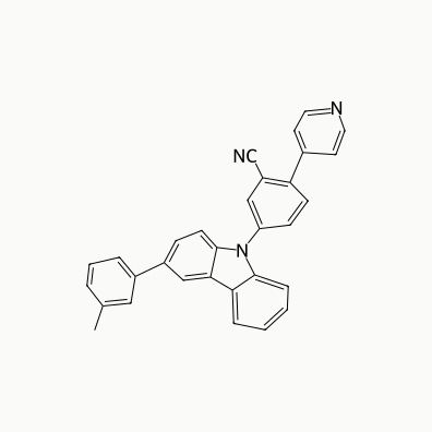 Cc1cccc(-c2ccc3c(c2)c2ccccc2n3-c2ccc(-c3ccncc3)c(C#N)c2)c1